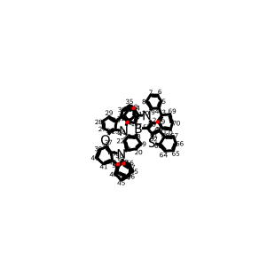 c1ccc(-c2ccccc2N2c3cccc4c3B(c3ccc5cc3N4c3c(cccc3-c3ccccc3)Oc3cccc(-c4ccccc4)c3N5c3ccccc3)c3c2sc2c3sc3ccccc32)cc1